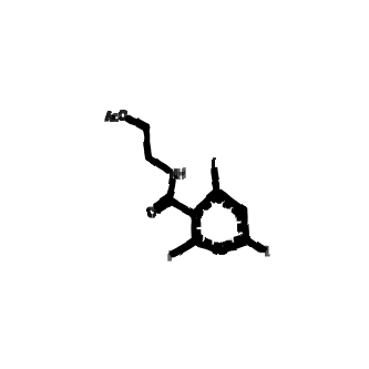 CC(=O)OCCNC(=O)c1c(I)cc(I)cc1I